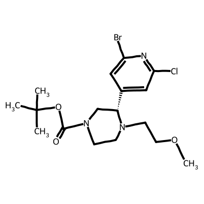 COCCN1CCN(C(=O)OC(C)(C)C)C[C@@H]1c1cc(Cl)nc(Br)c1